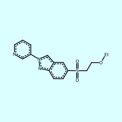 CCOCCS(=O)(=O)c1ccc2nn(-c3cccnc3)cc2c1